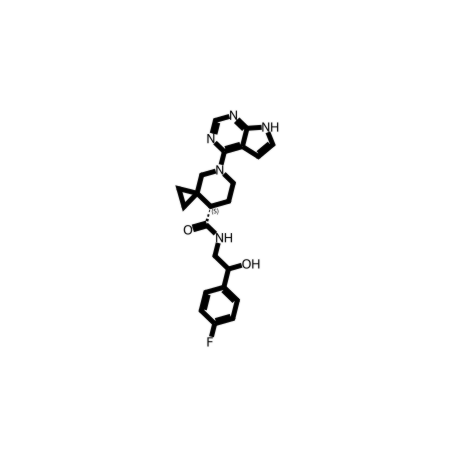 O=C(NCC(O)c1ccc(F)cc1)[C@H]1CCN(c2ncnc3[nH]ccc23)CC12CC2